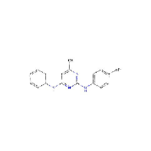 CCCc1ccc(Nc2nc(C)cc(Nc3ccccc3)n2)cc1